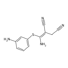 N#CCC(C#N)=C(N)Sc1cccc(N)c1